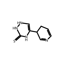 S=C1NNC=C(C2C=NC=CC2)N1